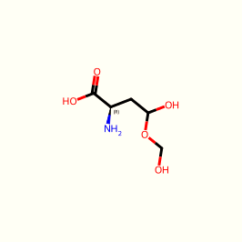 N[C@H](CC(O)OCO)C(=O)O